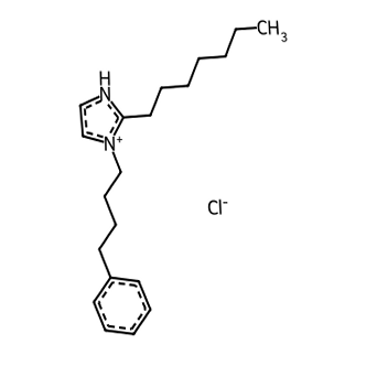 CCCCCCCc1[nH]cc[n+]1CCCCc1ccccc1.[Cl-]